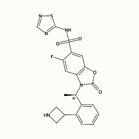 C[C@H](c1ccccc1C1CNC1)n1c(=O)oc2cc(S(=O)(=O)Nc3ncns3)c(F)cc21